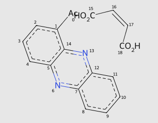 CC(=O)c1cccc2nc3ccccc3nc12.O=C(O)/C=C\C(=O)O